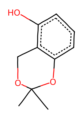 CC1(C)OCc2c(O)cccc2O1